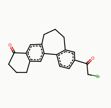 O=C(CBr)c1ccc2c(c1)CCCc1cc3c(cc1-2)CCCC3=O